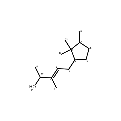 C/C(=C\CC1CCC(C)C1(C)C)C(C)O